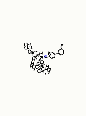 COCO[C@@H]1CC[C@@H]2[C@H](C1)C[C@@H](O[Si](C)(C)C(C)(C)C)[C@H]2/C=C/c1ccc(-c2cccc(F)c2)cn1